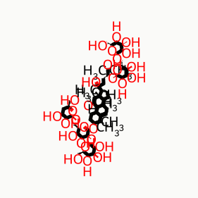 CC(C)(O)[C@@H](CC[C@](C)(O)[C@H]1CC[C@@]2(C)[C@@H]3CC=C4[C@@H](CC[C@H](O[C@@H]5O[C@H](CO[C@@H]6O[C@H](CO)C[C@H](O)[C@H]6O)[C@@H](O)[C@H](O)[C@H]5O[C@@H]5O[C@H](CO)[C@@H](O)[C@H](O)[C@H]5O)C4(C)C)[C@]3(C)C(=O)C[C@]12C)O[C@@H]1O[C@H](CO[C@@H]2O[C@H](CO)[C@@H](O)[C@H](O)[C@H]2O)[C@@H](O)[C@H](O)[C@H]1O